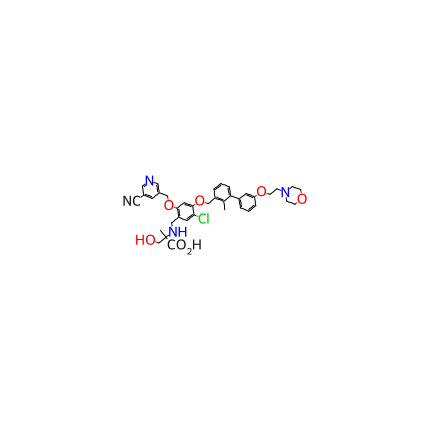 Cc1c(COc2cc(OCc3cncc(C#N)c3)c(CN[C@@](C)(CO)C(=O)O)cc2Cl)cccc1-c1cccc(OCCN2CCOCC2)c1